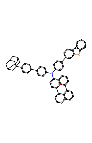 c1ccc(-c2cccc3cccc(-c4ccc(N(c5ccc(-c6ccc(C78CC9CC(CC(C9)C7)C8)cc6)cc5)c5ccc(-c6ccc7c(c6)sc6ccccc67)cc5)cc4)c23)cc1